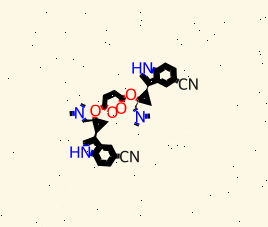 CN(C)C[C@@]1(OC(=O)/C=C\C(=O)O[C@]2(CN(C)C)C[C@H]2c2c[nH]c3ccc(C#N)cc23)C[C@H]1c1c[nH]c2ccc(C#N)cc12